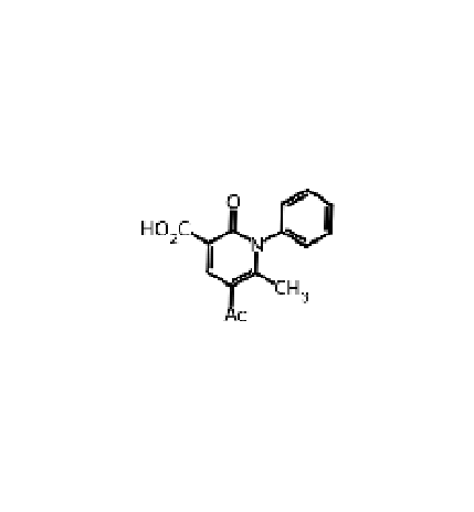 CC(=O)c1cc(C(=O)O)c(=O)n(-c2ccccc2)c1C